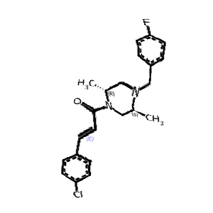 C[C@@H]1CN(Cc2ccc(F)cc2)[C@@H](C)CN1C(=O)/C=C/c1ccc(Cl)cc1